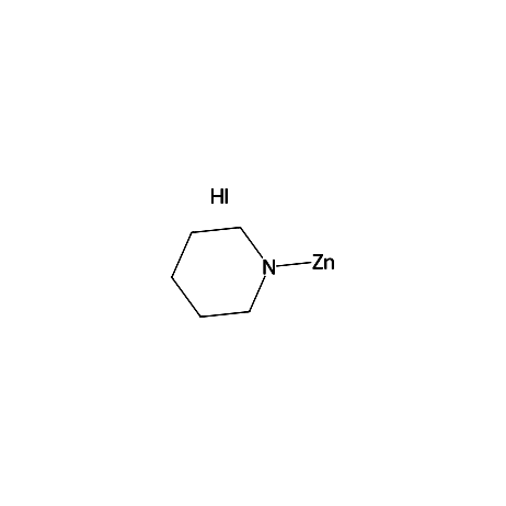 I.[Zn][N]1CCCCC1